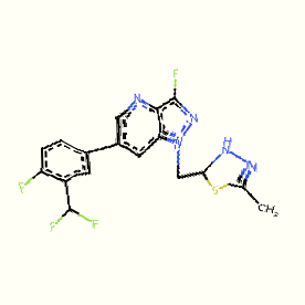 CC1=NNC(Cn2nc(F)c3ncc(-c4ccc(F)c(C(F)F)c4)cc32)S1